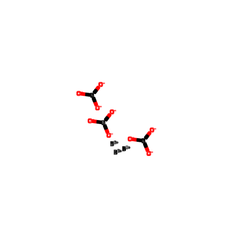 [B+3].[B+3].[B+3].[O-]B([O-])[O-].[O-]B([O-])[O-].[O-]B([O-])[O-]